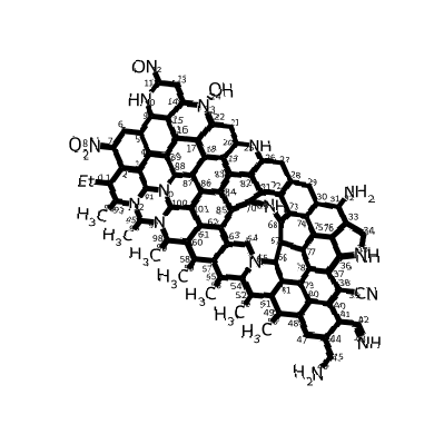 CCC1C2C3C4C(CC2[N+](=O)[O-])C2NC(N=O)CC5C2C2C6C7C8C(CC6N5O)NC5CC6CC9C(N)C%10CNC%11C%12C(C#N)C%13C(C=N)C(CN)CC%14C(C)C%15C(C)C%16C(C)C%17C(C)C%18C%19C%20C%17CN%16C%16C%17C%21NC%22C(C6C%21C9C(C%10%11)C%17C%12C(C%14%13)C%15%16)C5C8C(C%22%20)C5C7C(C42)N2C3N(C1C)C(C)N(C%18C)C2C%195